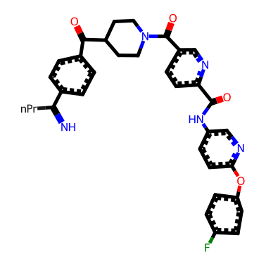 CCCC(=N)c1ccc(C(=O)C2CCN(C(=O)c3ccc(C(=O)Nc4ccc(Oc5ccc(F)cc5)nc4)nc3)CC2)cc1